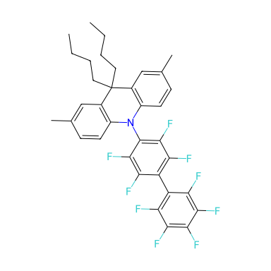 CCCCC1(CCCC)c2cc(C)ccc2N(c2c(F)c(F)c(-c3c(F)c(F)c(F)c(F)c3F)c(F)c2F)c2ccc(C)cc21